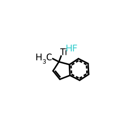 C[C]1([Ti])C=Cc2ccccc21.F